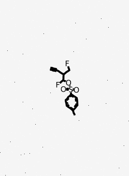 C#CC(CF)C(F)OS(=O)(=O)c1ccc(C)cc1